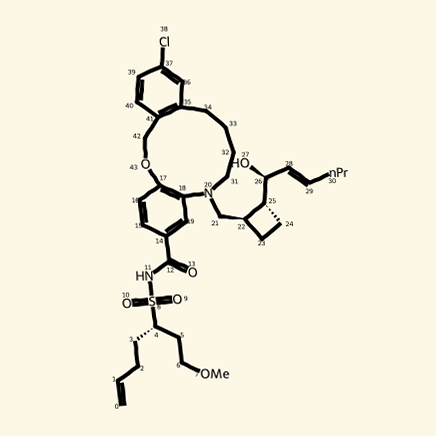 C=CCC[C@@H](CCOC)S(=O)(=O)NC(=O)c1ccc2c(c1)N(C[C@@H]1CC[C@H]1[C@@H](O)/C=C/CCC)CCCCc1cc(Cl)ccc1CO2